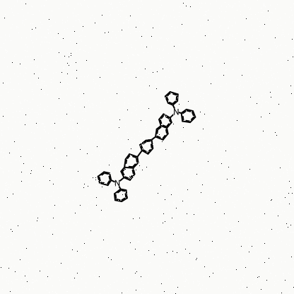 c1ccc(N(c2ccccc2)c2ccc3cc(-c4ccc(-c5ccc6cc(N(c7ccccc7)c7ccccc7)ccc6c5)cc4)ccc3c2)cc1